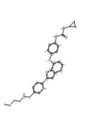 COCCNCc1ccc(-c2cc3nccc(Oc4ccc(NC(=O)NC5CC5)cc4)c3s2)nc1